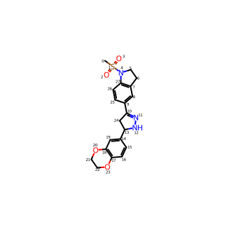 CS(=O)(=O)N1CCc2cc(C3=NNC(c4ccc5c(c4)OCCO5)C3)ccc21